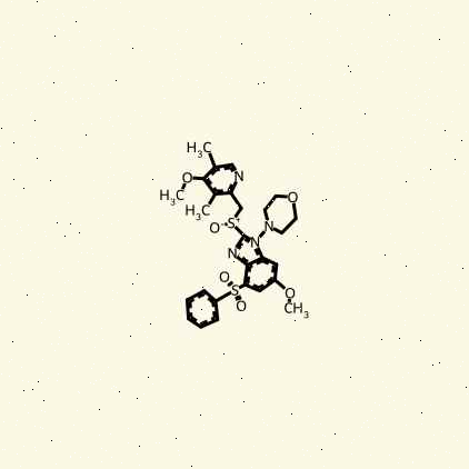 COc1cc(S(=O)(=O)c2ccccc2)c2nc([S+]([O-])Cc3ncc(C)c(OC)c3C)n(N3CCOCC3)c2c1